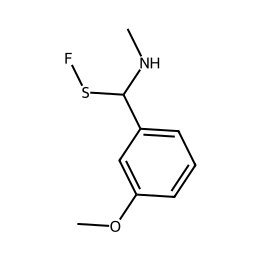 CNC(SF)c1cccc(OC)c1